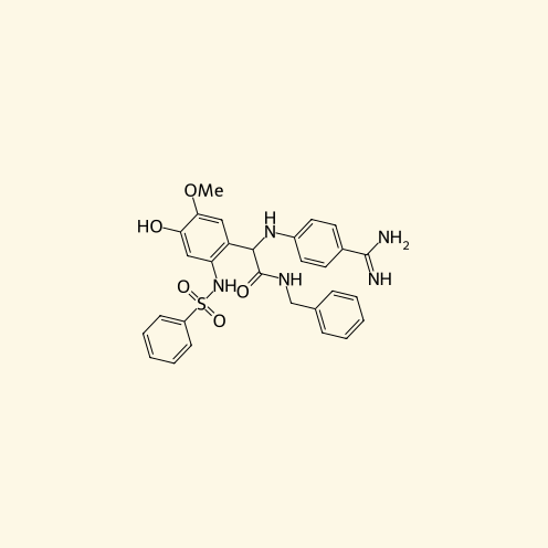 COc1cc(C(Nc2ccc(C(=N)N)cc2)C(=O)NCc2ccccc2)c(NS(=O)(=O)c2ccccc2)cc1O